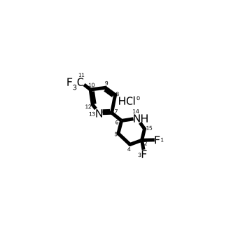 Cl.FC1(F)CCC(c2ccc(C(F)(F)F)cn2)NC1